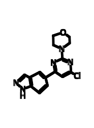 Clc1cc(-c2ccc3[nH]ncc3c2)nc(N2CCOCC2)n1